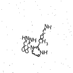 Cc1ncc[nH]1.N=C=O.N=C=O.N=C=O